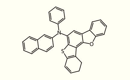 C1=Cc2sc3c(N(c4ccccc4)c4ccc5ccccc5c4)cc4c5ccccc5oc4c3c2CC1